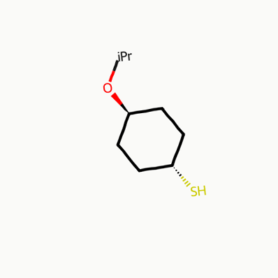 CC(C)O[C@H]1CC[C@H](S)CC1